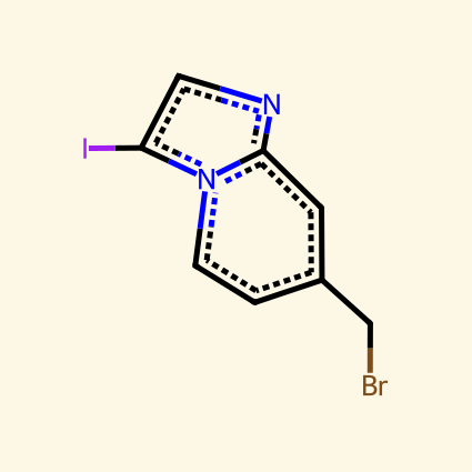 BrCc1ccn2c(I)cnc2c1